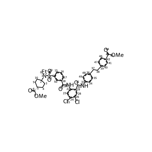 CCN([C@H]1CC[C@H](C(=O)OC)CC1)S(=O)(=O)c1cccc(C(=O)Nc2cc(Cl)c(Cl)cc2C(=O)Nc2ccc(CCc3ccc(C(=O)OC)cc3)cc2)c1